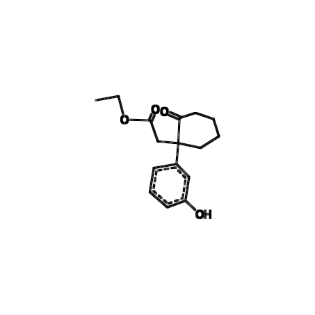 CCOC(=O)CC1(c2cccc(O)c2)CCCCC1=O